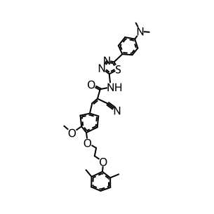 COc1cc(/C=C(\C#N)C(=O)Nc2nnc(-c3ccc(N(C)C)cc3)s2)ccc1OCCOc1c(C)cccc1C